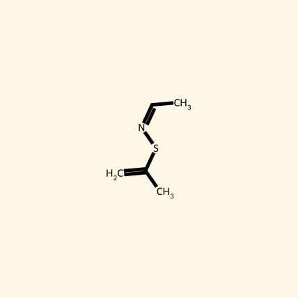 C=C(C)S/N=C\C